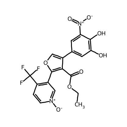 CCOC(=O)c1c(-c2cc(O)c(O)c([N+](=O)[O-])c2)coc1-c1c[n+]([O-])ccc1C(F)(F)F